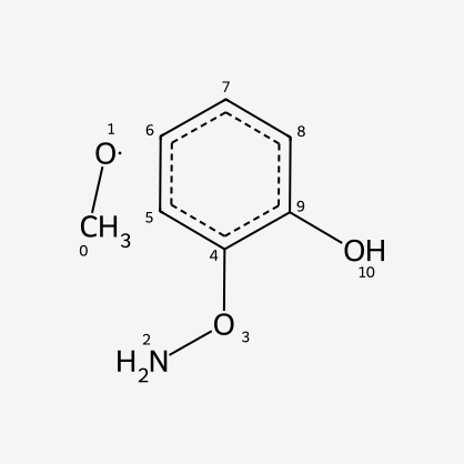 C[O].NOc1ccccc1O